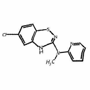 CN(C1=NSc2ccc(Cl)cc2N1)c1ccccn1